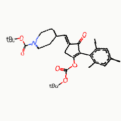 Cc1cc(C)c(C2=C(OC(=O)OC(C)(C)C)C/C(=C\C3CCN(C(=O)OC(C)(C)C)CC3)C2=O)c(C)c1